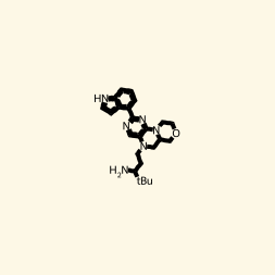 CC(C)(C)C(N)CCN1CC2COCCN2c2nc(-c3cccc4[nH]ccc34)ncc21